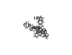 CC(NC(=O)CN1CCOCC1)C(=O)NC(Cc1ccc2[nH]ccc2c1)C(=O)NC(CC1CCCC1)C(=O)C1(C)CO1